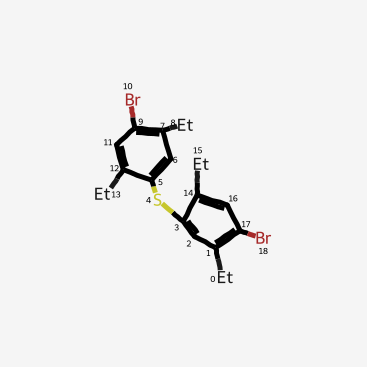 CCc1cc(Sc2cc(CC)c(Br)cc2CC)c(CC)cc1Br